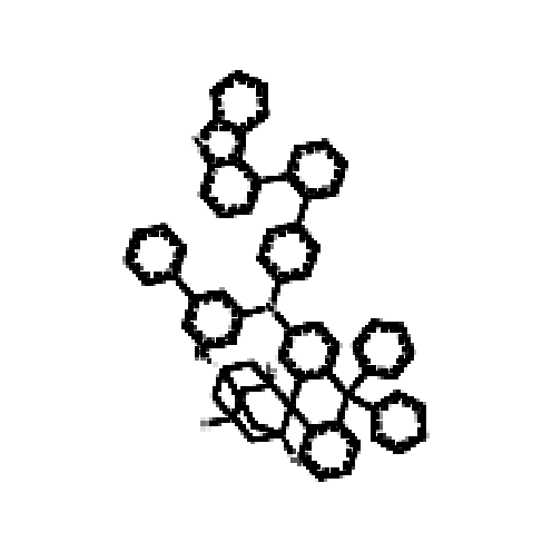 c1ccc(-c2cccc(N(c3ccc(-c4ccccc4-c4cccc5sc6ccccc6c45)cc3)c3ccc4c(c3)C3(c5ccccc5C4(c4ccccc4)c4ccccc4)[C@H]4C[C@H]5C[C@H](C[C@H]3C5)C4)c2)cc1